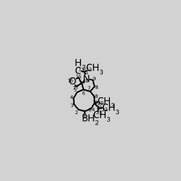 BC1CCCCC2C(CCN(C(C)C)C23COC3)CC(C)(C(C)C)C1